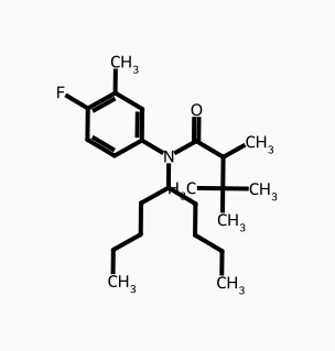 CCCCC(CCCC)N(C(=O)C(C)C(C)(C)C)c1ccc(F)c(C)c1